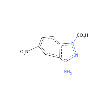 Nc1nn(C(=O)O)c2ccc([N+](=O)[O-])cc12